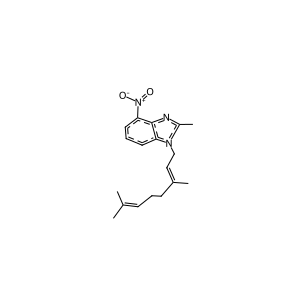 CC(C)=CCC/C(C)=C/Cn1c(C)nc2c([N+](=O)[O-])cccc21